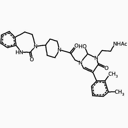 CC(=O)NCCN1C(=O)C(c2cccc(C)c2C)=CN(CC(=O)N2CCC(N3CCc4ccccc4NC3=O)CC2)C1O